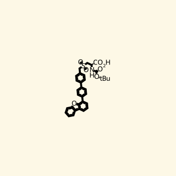 CC(C)(C)OC(=O)N[C@@H](CS(=O)(=O)Cc1ccc(-c2ccc(-c3cccc4c3oc3ccccc34)cc2)cc1)C(=O)O